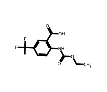 CCOC(=O)Nc1ccc(C(F)(F)F)cc1C(=O)O